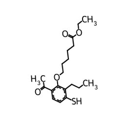 CCCc1c(S)ccc(C(C)=O)c1OCCCCCC(=O)OCC